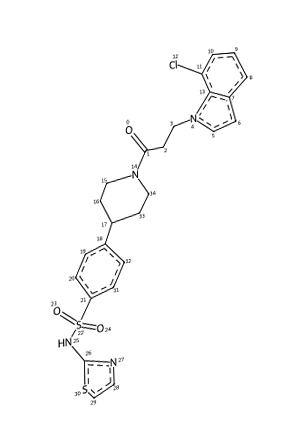 O=C(CCn1ccc2cccc(Cl)c21)N1CCC(c2ccc(S(=O)(=O)Nc3nccs3)cc2)CC1